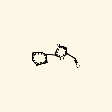 O=Cc1cnc(-c2ccccc2)o1